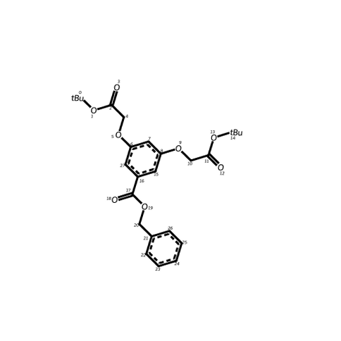 CC(C)(C)OC(=O)COc1cc(OCC(=O)OC(C)(C)C)cc(C(=O)OCc2ccccc2)c1